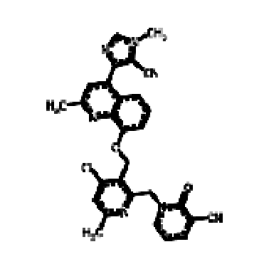 Cc1cc(Cl)c(COc2cccc3c(-c4ncn(C)c4C#N)cc(C)nc23)c(Cn2cccc(C#N)c2=O)n1